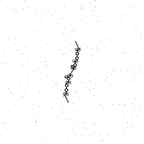 CCCCCC[C@H](C)OC(=O)c1ccc(-c2ccc(OC(=O)c3ccc(OC(=O)CCCCC(=O)Oc4ccc(C(=O)Oc5ccc(-c6ccc(C(=O)O[C@@H](C)CCCCCC)cc6)cc5)cc4OC)c(OC)c3)cc2)cc1